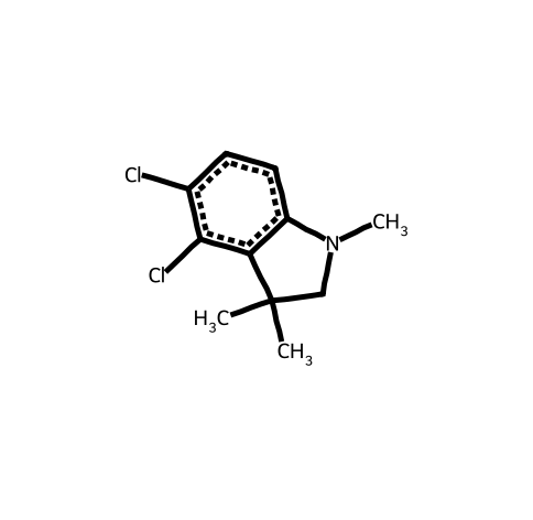 CN1CC(C)(C)c2c1ccc(Cl)c2Cl